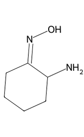 NC1CCCC/C1=N/O